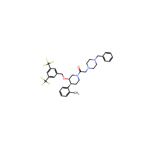 Cc1ccccc1[C@@H]1CCN(C(=O)CN2CCN(Cc3ccccc3)CC2)C[C@@H]1OCc1cc(C(F)(F)F)cc(C(F)(F)F)c1